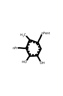 CCCCCc1cc(O)c(O)c(CCC)c1C